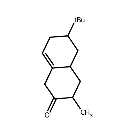 CC1CC2CC(C(C)(C)C)CC=C2CC1=O